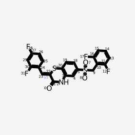 O=C1Nc2cc(S(=O)(=O)Cc3c(F)cccc3F)ccc2S/C1=C\c1ccc(F)cc1F